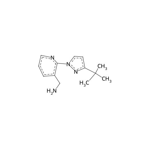 CC(C)(C)c1ccn(-c2ncccc2CN)n1